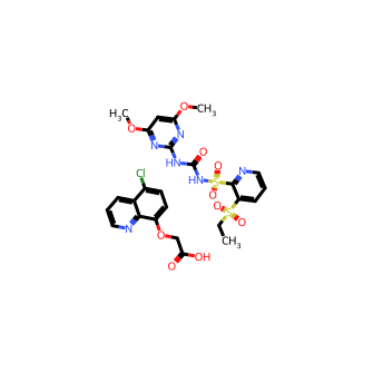 CCS(=O)(=O)c1cccnc1S(=O)(=O)NC(=O)Nc1nc(OC)cc(OC)n1.O=C(O)COc1ccc(Cl)c2cccnc12